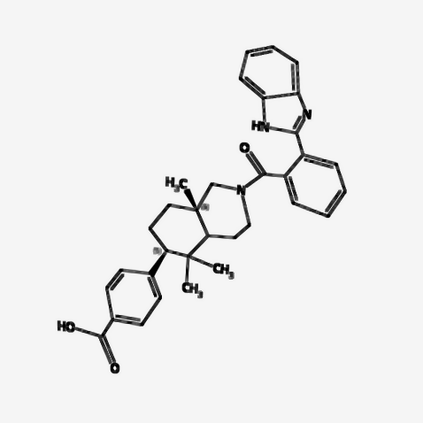 CC1(C)C2CCN(C(=O)c3ccccc3-c3nc4ccccc4[nH]3)C[C@@]2(C)CC[C@@H]1c1ccc(C(=O)O)cc1